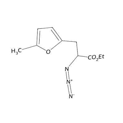 CCOC(=O)C(Cc1ccc(C)o1)N=[N+]=[N-]